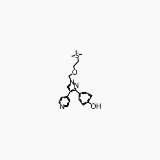 CS(C)(C)CCOCn1cc(-c2ccncc2)c(-c2ccc(O)cc2)n1